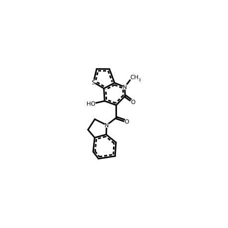 Cn1c(=O)c(C(=O)N2CCc3ccccc32)c(O)c2sccc21